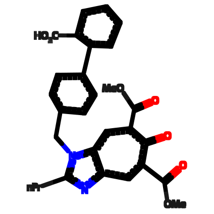 CCCc1nc2cc(C(=O)OC)c(=O)c(C(=O)OC)cc2n1Cc1ccc(-c2ccccc2C(=O)O)cc1